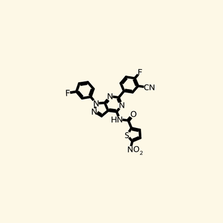 N#Cc1cc(-c2nc(NC(=O)c3ccc([N+](=O)[O-])s3)c3cnn(-c4cccc(F)c4)c3n2)ccc1F